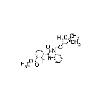 COC(=O)c1cccc(-c2nc3ccccc3n(COCC[Si](C)(C)C)c2=O)c1F